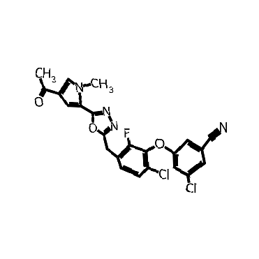 CC(=O)c1cc(-c2nnc(Cc3ccc(Cl)c(Oc4cc(Cl)cc(C#N)c4)c3F)o2)n(C)c1